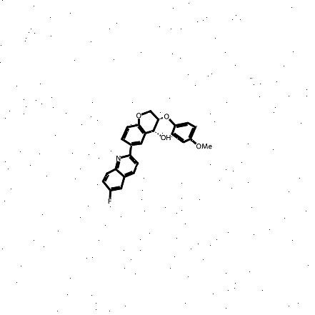 COc1ccc(O[C@H]2COc3ccc(-c4ccc5cc(F)ccc5n4)cc3[C@H]2O)cc1